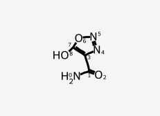 NC(=O)c1nnoc1O